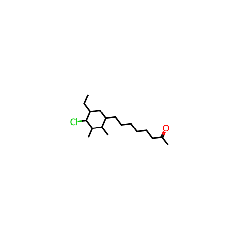 CCC1CC(CCCCCCC(C)=O)C(C)C(C)C1Cl